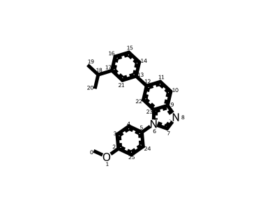 COc1ccc(-n2cnc3ccc(-c4cccc(C(C)C)c4)cc32)cc1